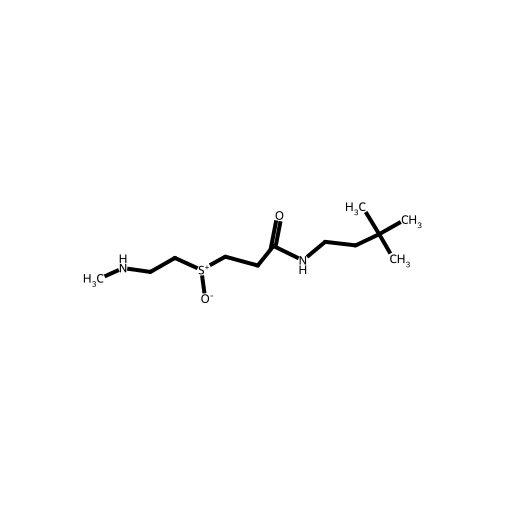 CNCC[S+]([O-])CCC(=O)NCCC(C)(C)C